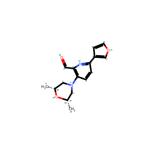 C[C@@H]1CN(c2ccc(-c3ccoc3)nc2C=O)C[C@H](C)O1